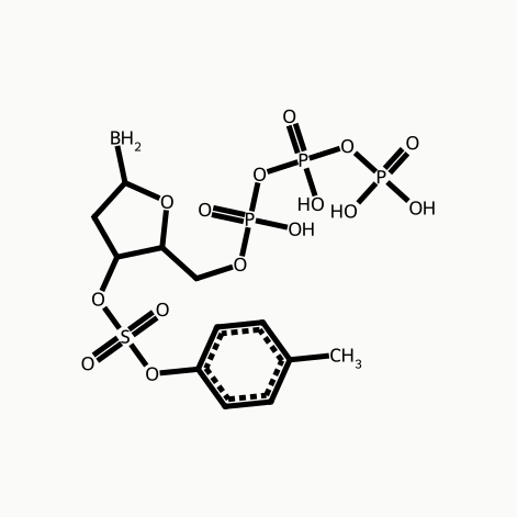 BC1CC(OS(=O)(=O)Oc2ccc(C)cc2)C(COP(=O)(O)OP(=O)(O)OP(=O)(O)O)O1